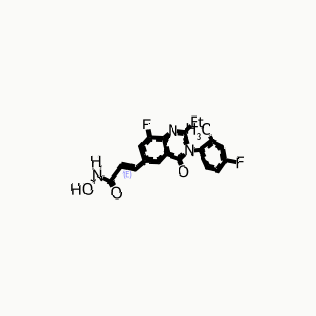 CCc1nc2c(F)cc(/C=C/C(=O)NO)cc2c(=O)n1-c1ccc(F)cc1C